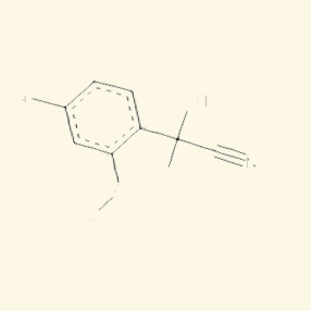 COc1cc(Br)ccc1C(C)(C)C#N